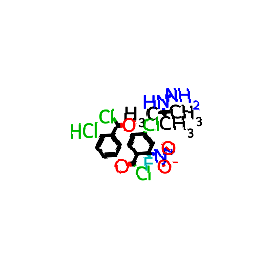 CC(C)(C)NN.Cl.O=C(Cl)C1C=CC(Cl)=CC1(F)[N+](=O)[O-].O=C(Cl)c1ccccc1